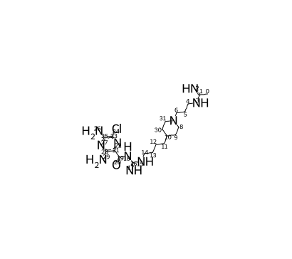 CC(=N)NCCCN1CCC(CCCCNC(=N)NC(=O)c2nc(Cl)c(N)nc2N)CC1